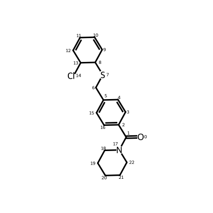 O=C(c1ccc(CSC2C=CC=CC2Cl)cc1)N1CCCCC1